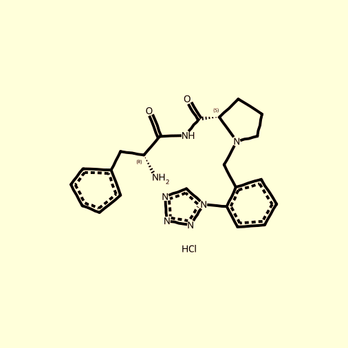 Cl.N[C@H](Cc1ccccc1)C(=O)NC(=O)[C@@H]1CCCN1Cc1ccccc1-n1cnnn1